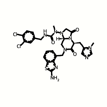 CN(C(=O)NCc1ccc(Cl)c(Cl)c1)N1CC(=O)N2[C@@H](Cc3cncn3C)C(=O)N(Cc3cccc4sc(N)nc34)C[C@@H]21